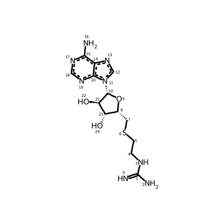 N=C(N)NCCSC[C@H]1O[C@@H](n2cnc3c(N)ncnc32)[C@H](O)[C@H]1O